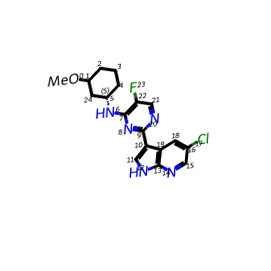 COC1CCC[C@H](Nc2nc(-c3c[nH]c4ncc(Cl)cc34)ncc2F)C1